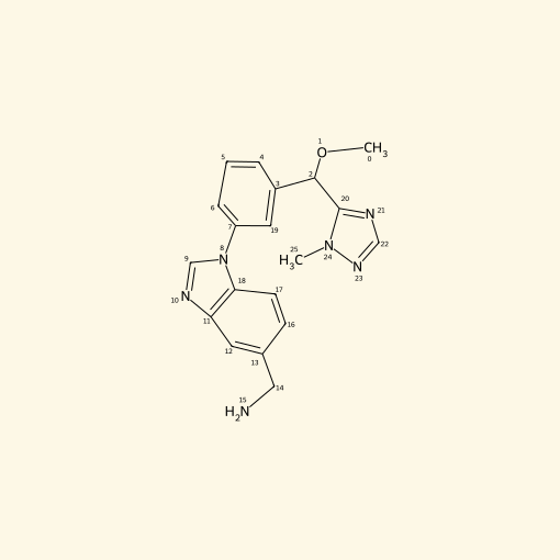 COC(c1cccc(-n2cnc3cc(CN)ccc32)c1)c1ncnn1C